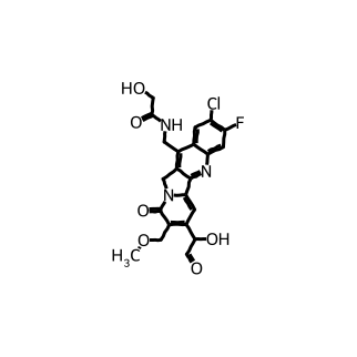 COCc1c(C(O)C=O)cc2n(c1=O)Cc1c-2nc2cc(F)c(Cl)cc2c1CNC(=O)CO